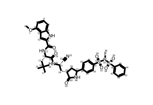 COc1cccc2[nH]c(C(=O)N[C@@H](CC(C)(C)C)C(=O)N[C@H](C#N)C[C@@H]3CC(c4ccc(S(=O)(=O)N(F)S(=O)(=O)c5ccccc5)cc4)NC3=O)cc12